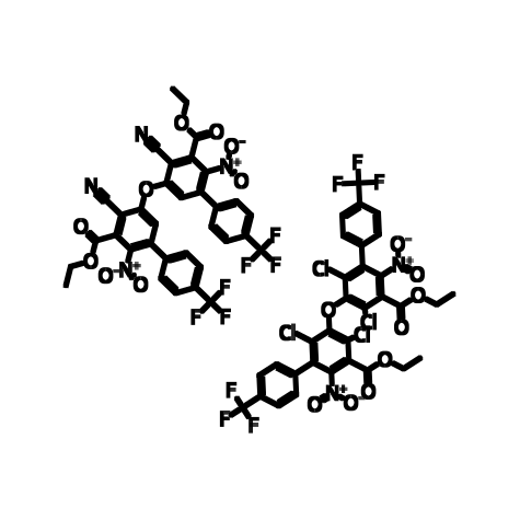 CCOC(=O)c1c(C#N)c(Oc2cc(-c3ccc(C(F)(F)F)cc3)c([N+](=O)[O-])c(C(=O)OCC)c2C#N)cc(-c2ccc(C(F)(F)F)cc2)c1[N+](=O)[O-].CCOC(=O)c1c(Cl)c(Oc2c(Cl)c(C(=O)OCC)c([N+](=O)[O-])c(-c3ccc(C(F)(F)F)cc3)c2Cl)c(Cl)c(-c2ccc(C(F)(F)F)cc2)c1[N+](=O)[O-]